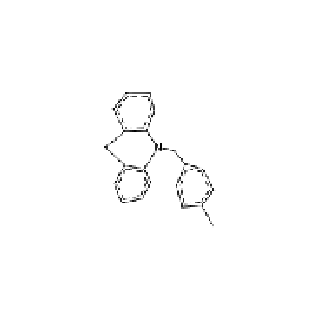 Cc1ccc(CN2c3ccccc3Cc3ccccc32)cc1